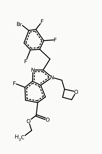 CCOC(=O)c1cc(F)c2nc(Cc3c(F)cc(Br)c(F)c3F)n(CC3CCO3)c2c1